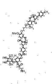 COc1cc2c(cc1OCCCOc1cc3c(cc1C)C(=O)N1C=C(c4ccc(C)cc4)C[C@H]1C=N3)N=C[C@@H]1CC(c3ccc(NC(=O)Oc4ccc(O[C@@H]5OC(C(=O)O)[C@@H](O)[C@H](O)C5O)c(NC(=O)CCN)c4)cc3)=CN1C2=O